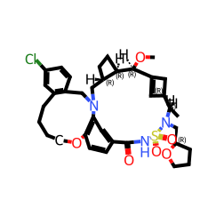 CO[C@H]1C2=C[C@@H](C2)[C@H](C)N(C[C@H]2CCCO2)S(=O)(=O)NC(=O)c2ccc3c(c2)N(Cc2ccc(Cl)cc2CCCCO3)C[C@@H]2CC[C@H]21